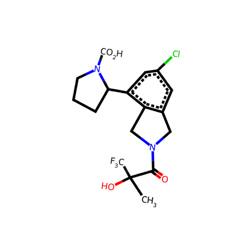 CC(O)(C(=O)N1Cc2cc(Cl)cc(C3CCCN3C(=O)O)c2C1)C(F)(F)F